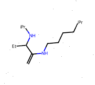 C=C(NCCCCC(C)C)C(CC)NC(C)C